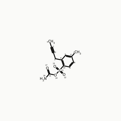 CC#CCc1cc(C)ccc1S(=O)(=O)OC(N)=O